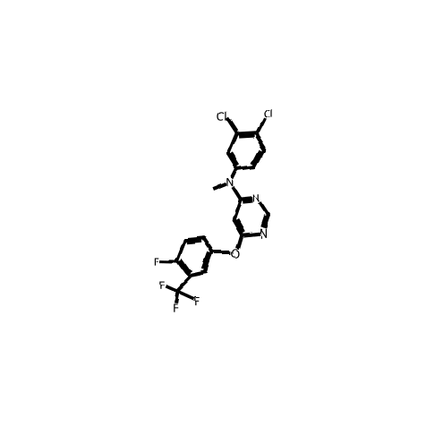 CN(c1ccc(Cl)c(Cl)c1)c1cc(Oc2ccc(F)c(C(F)(F)F)c2)ncn1